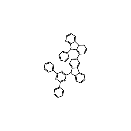 c1ccc(-c2nc(-c3ccccc3)nc(-n3c4ccccc4c4cc(-c5cccc6c7cccnc7n(-c7ccccc7)c56)ccc43)n2)cc1